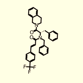 O=C([C@H](Cc1ccccc1)N(Cc1ccccc1)C(=O)/C=C/c1ccc(C(F)(F)F)cc1)N1CCc2ccccc2C1